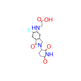 O=C(O)CNc1cc2c(cc1F)C(=O)N(C1CCC(=O)NC1=O)C2